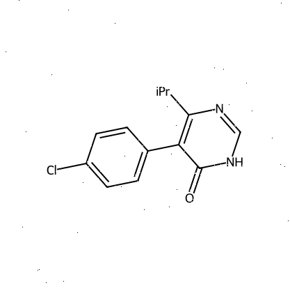 CC(C)c1nc[nH]c(=O)c1-c1ccc(Cl)cc1